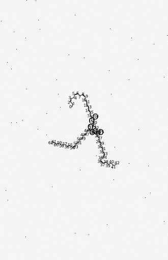 CC/C=C\C/C=C\C/C=C\CCCCCCCC(=O)OCC(COC(=O)CCCCCCC/C=C\C/C=C\CCCCC)OC(O)CCCCCCC/C=C\CCCCCCCC